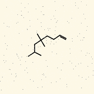 [CH2]C(C)CC(C)(C)CCC=C